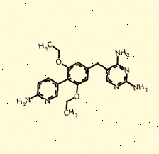 CCOc1cc(Cc2cnc(N)nc2N)cc(OCC)c1-c1ccc(N)nc1